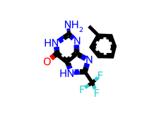 Cc1ccccc1.Nc1nc2nc(C(F)(F)F)[nH]c2c(=O)[nH]1